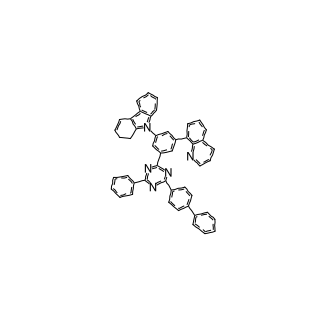 C1=Cc2c(n(-c3cc(-c4nc(-c5ccccc5)nc(-c5ccc(-c6ccccc6)cc5)n4)cc(-c4cccc5cccnc45)c3)c3ccccc23)CC1